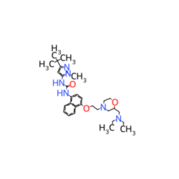 CCN(CC)CC1CN(CCOc2ccc(NC(=O)Nc3cc(C(C)(C)C)nn3C)c3ccccc23)CCO1